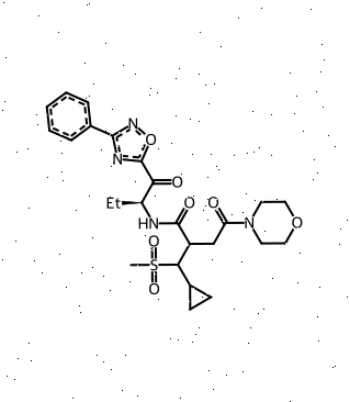 CC[C@H](NC(=O)C(CC(=O)N1CCOCC1)C(C1CC1)S(C)(=O)=O)C(=O)c1nc(-c2ccccc2)no1